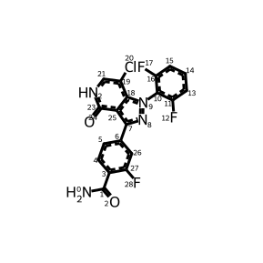 NC(=O)c1ccc(-c2nn(-c3c(F)cccc3F)c3c(Cl)c[nH]c(=O)c23)cc1F